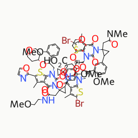 CNC(=O)CC1(n2c(=O)c3c(C)c(Br)sc3n(C[C@H](OC3CCOCC3)c3ccc(C4CC4(CC(=O)NCCOC)n4c(=O)c5c(C)c(-c6ncco6)sc5n(CC(OC5CCOCC5)c5ccccc5OC)c4=O)cc3OC)c2=O)CC1c1ccc(OC)c([C@H](Cn2c(=O)n(C3(CC(=O)O)CC3)c(=O)c3c(C)c(Br)sc32)OC2CCOCC2)c1